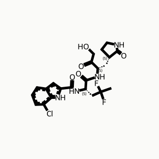 CC(F)(F)C[C@H](NC(=O)c1cc2cccc(Cl)c2[nH]1)C(=O)N[C@@H](C[C@@H]1CCNC1=O)C(=O)CO